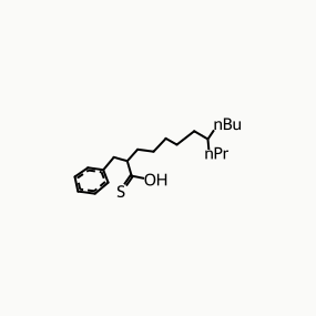 CCCCC(CCC)CCCCCC(Cc1ccccc1)C(O)=S